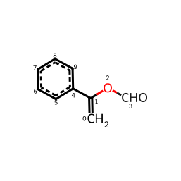 C=C(OC=O)c1ccccc1